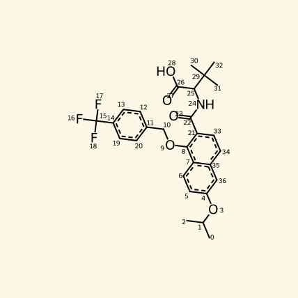 CC(C)Oc1ccc2c(OCc3ccc(C(F)(F)F)cc3)c(C(=O)NC(C(=O)O)C(C)(C)C)ccc2c1